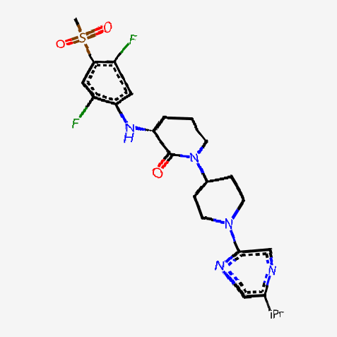 CC(C)c1cnc(N2CCC(N3CCC[C@H](Nc4cc(F)c(S(C)(=O)=O)cc4F)C3=O)CC2)cn1